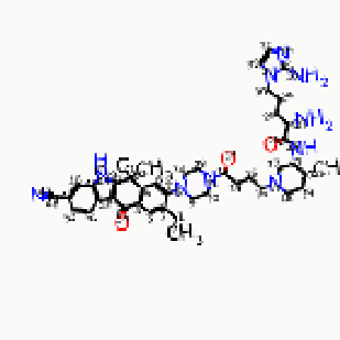 CCc1cc2c(cc1N1CCN(C(=O)CCCN3CC[C@@H](C)[C@@H](NC(=O)[C@@H](N)CCCn4ccnc4N)C3)CC1)C(C)(C)c1[nH]c3cc(C#N)ccc3c1C2=O